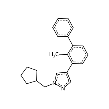 Cc1c(-c2ccccc2)cccc1-c1cnn(CC2CCCC2)c1